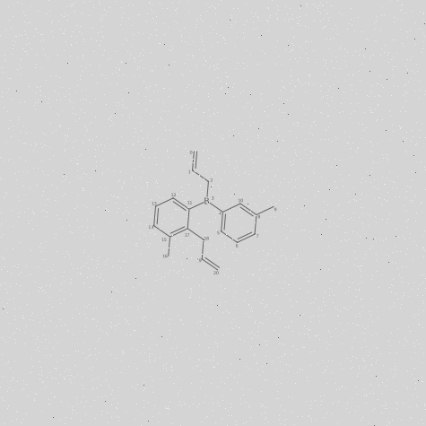 C=CCB(c1cccc(C)c1)c1cccc(C)c1CC=C